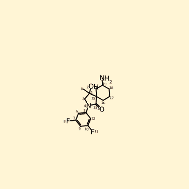 CC1(O)CN(c2cc(F)cc(F)c2)C(=O)C12CCCC(N)C2